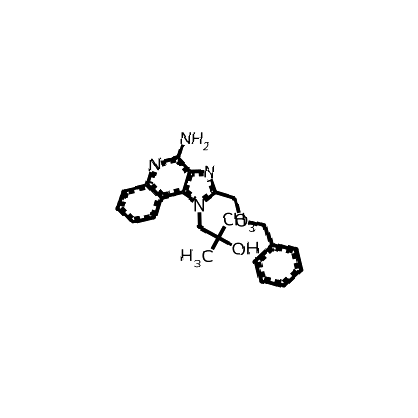 CC(C)(O)Cn1c(COCc2ccccc2)nc2c(N)nc3ccccc3c21